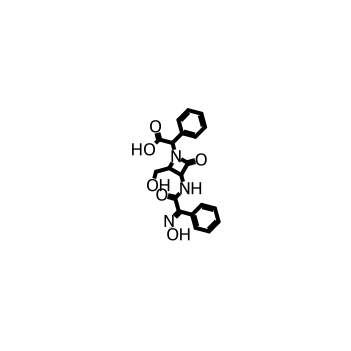 O=C(NC1C(=O)N(C(C(=O)O)c2ccccc2)C1CO)/C(=N/O)c1ccccc1